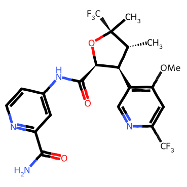 COc1cc(C(F)(F)F)ncc1[C@H]1[C@@H](C(=O)Nc2ccnc(C(N)=O)c2)O[C@@](C)(C(F)(F)F)[C@@H]1C